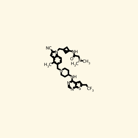 Cc1c(CN2CCC(Nc3ncnc4sc(CC(F)(F)F)cc34)CC2)ccc2c1cc(C#N)n2CC12CC(NC(=O)CN(C)C)(C1)C2